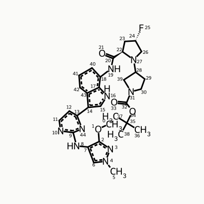 COc1nn(C)cc1Nc1nccc(-c2c[nH]c3c(NC(=O)[C@H]4C[C@H](F)CN4C4CCN(C(=O)OC(C)(C)C)C4)cccc23)n1